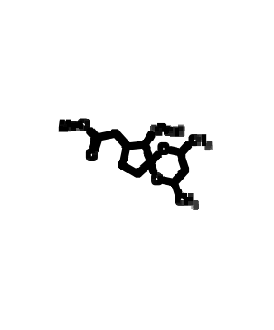 CCCCCC1C(CC(=O)OC)CCC12OC(C)CC(C)O2